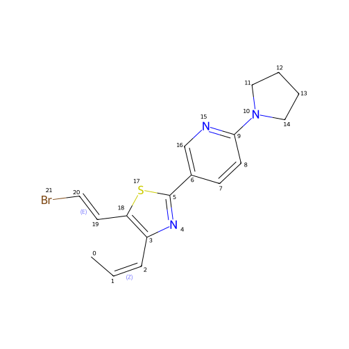 C/C=C\c1nc(-c2ccc(N3CCCC3)nc2)sc1/C=C/Br